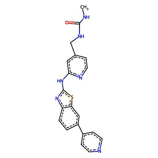 CNC(=O)NCc1ccnc(Nc2nc3ccc(-c4ccncc4)cc3s2)c1